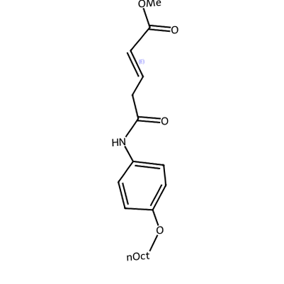 CCCCCCCCOc1ccc(NC(=O)C/C=C/C(=O)OC)cc1